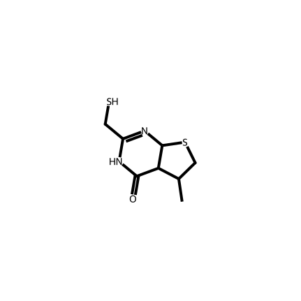 CC1CSC2N=C(CS)NC(=O)C12